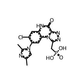 Cc1cn(-c2cc3c(cc2Cl)[nH]c(=O)c2nnc(CP(=O)(O)O)n23)c(C)n1